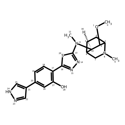 COC1C2CCC(CN2C)[C@H]1N(C)c1nnc(-c2ccc(-c3cn[nH]c3)cc2O)s1